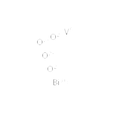 [Bi+3].[O-2].[O-2].[O-2].[O-2].[V+5]